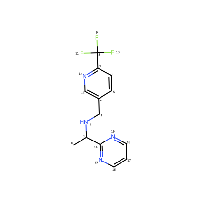 CC(NCc1ccc(C(F)(F)F)nc1)c1ncccn1